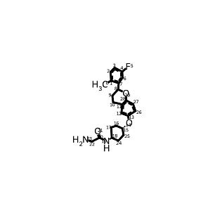 Cc1ccc(F)cc1C1CCc2cc(O[C@H]3CC[C@H](NC(=O)CN)CC3)ccc2O1